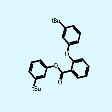 CC(C)(C)c1cccc(OC(=O)c2ccccc2Oc2cccc(C(C)(C)C)c2)c1